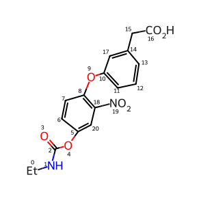 CCNC(=O)Oc1ccc(Oc2cccc(CC(=O)O)c2)c([N+](=O)[O-])c1